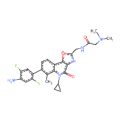 Cc1c(-c2cc(F)c(N)cc2F)ccc2c3oc(CNC(=O)CN(C)C)nc3c(=O)n(C3CC3)c12